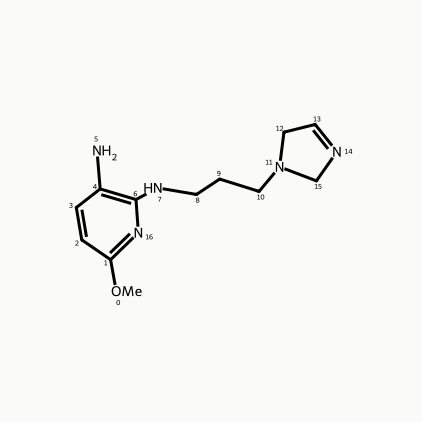 COc1ccc(N)c(NCCCN2CC=NC2)n1